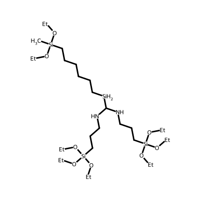 CCO[Si](C)(CCCCCC[SiH2]C(NCCC[Si](OCC)(OCC)OCC)NCCC[Si](OCC)(OCC)OCC)OCC